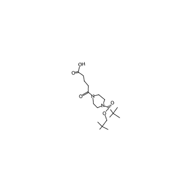 CC(C)(C)COP(=O)(N1CCN(C(=O)CCCC(=O)O)CC1)C(C)(C)C